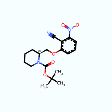 CC(C)(C)OC(=O)N1CCCC[C@H]1COc1cccc([N+](=O)[O-])c1C#N